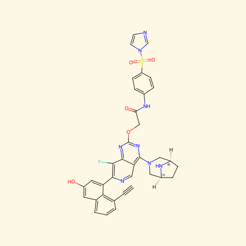 C#Cc1cccc2cc(O)cc(-c3ncc4c(N5C[C@H]6CC[C@@H](C5)N6)nc(OCC(=O)Nc5ccc(S(=O)(=O)n6ccnc6)cc5)nc4c3F)c12